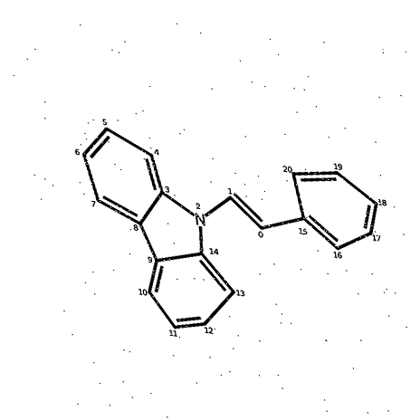 C(=Cn1c2ccccc2c2ccccc21)c1ccccc1